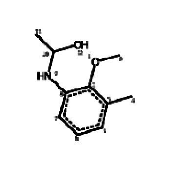 COc1c(C)cccc1NC(C)O